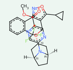 COC(=O)c1cnc(N2[C@@H]3CC[C@H]2C[C@H](OCc2c(-c4ccccc4C(F)(F)F)noc2C2CC2)C3)cn1